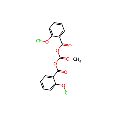 C.O=C(OC(=O)c1ccccc1OCl)OC(=O)c1ccccc1OCl